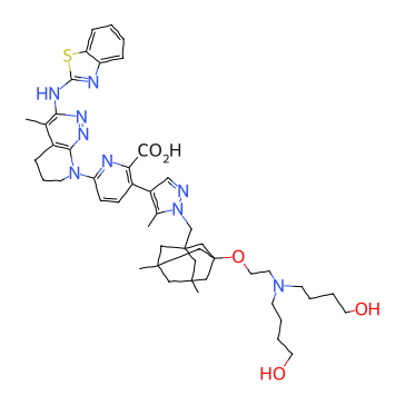 Cc1c(Nc2nc3ccccc3s2)nnc2c1CCCN2c1ccc(-c2cnn(CC34CC5(C)CC(C)(C3)CC(OCCN(CCCCO)CCCCO)(C5)C4)c2C)c(C(=O)O)n1